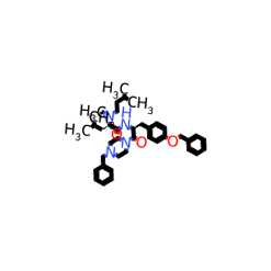 CC(C)CCN(C)[C@@H](CC(C)C)C(=O)N[C@@H](Cc1ccc(OCc2ccccc2)cc1)C(=O)N1CCN(Cc2ccccc2)CC1